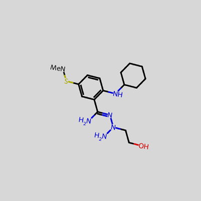 CNSc1ccc(NC2CCCCC2)c(/C(N)=N/N(N)CCO)c1